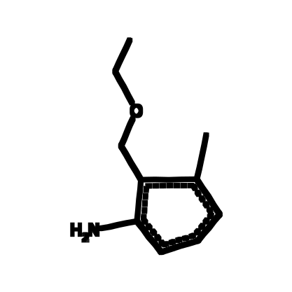 CCOCc1c(C)cccc1N